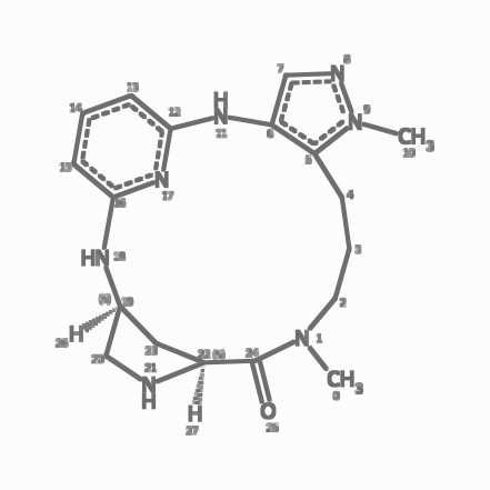 CN1CCCc2c(cnn2C)Nc2cccc(n2)N[C@@H]2CN[C@@H](C2)C1=O